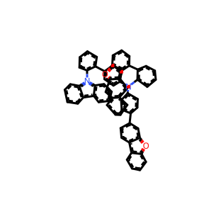 c1ccc(N(c2ccc(-c3ccc4c(c3)oc3ccccc34)cc2)c2ccc(-c3ccccc3-n3c4ccccc4c4ccccc43)cc2)c(-c2cccc3oc4cc5ccccc5cc4c23)c1